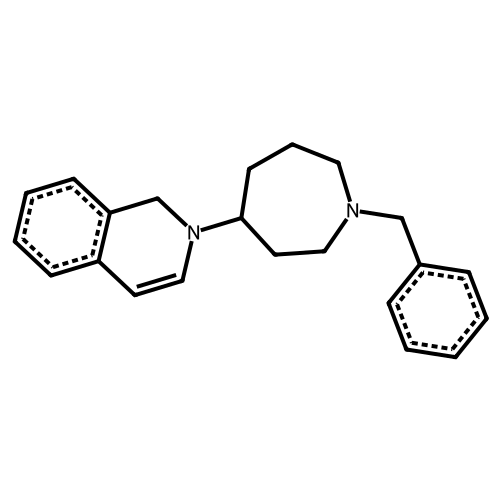 C1=CN(C2CCCN(Cc3ccccc3)CC2)Cc2ccccc21